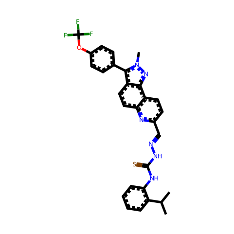 CC(C)c1ccccc1NC(=S)NN=Cc1ccc2c(ccc3c(-c4ccc(OC(F)(F)F)cc4)n(C)nc32)n1